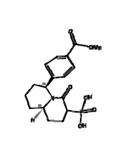 COC(=O)c1ccc([C@@H]2CCC[C@@H]3CCC(P(=O)(O)O)C(=O)N32)cc1